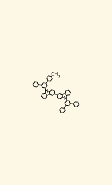 Cc1ccc(-c2cc(-c3ccccc3)cc(-n3c4ccccc4c4cc(-c5ccc6c(c5)c5ccccc5n6-c5cc(-c6ccccc6)cc(-c6ccccc6)c5)ccc43)c2)cc1